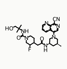 C[C@H]1C[C@@H](NC(=O)CC2CCN(C(=O)NC(C)(C)CO)CC2F)CN(c2cnc(C#N)c3ncccc23)C1